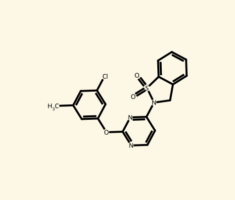 Cc1cc(Cl)cc(Oc2nccc(N3Cc4ccccc4S3(=O)=O)n2)c1